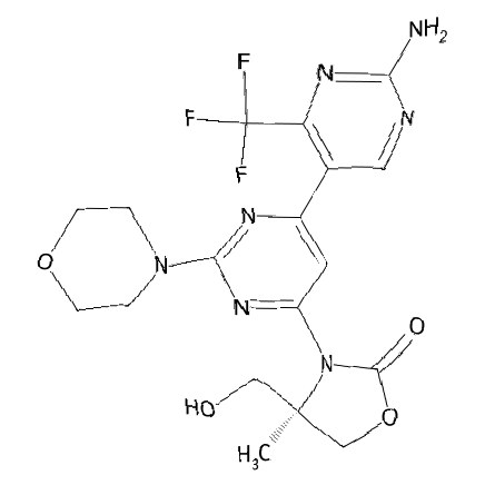 C[C@@]1(CO)COC(=O)N1c1cc(-c2cnc(N)nc2C(F)(F)F)nc(N2CCOCC2)n1